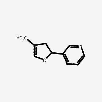 O=C(O)C1=COC(c2cccnc2)C1